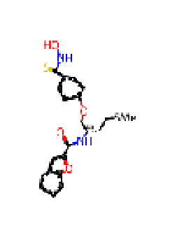 CSCC[C@@H](COc1ccc(C(=S)NO)cc1)NC(=O)c1cc2ccccc2o1